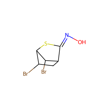 O/N=C1/SC2C(Br)CC1C2Br